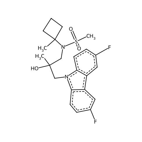 CC(O)(CN(C1(C)CCC1)S(C)(=O)=O)Cn1c2ccc(F)cc2c2cc(F)ccc21